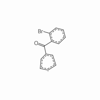 O=C(c1cc[c]cc1)c1ccccc1Br